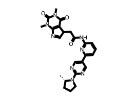 C[C@H]1CCCN1c1ncc(-c2cccc(NC(=O)CC3C=Nc4c3c(=O)n(C)c(=O)n4C)n2)cn1